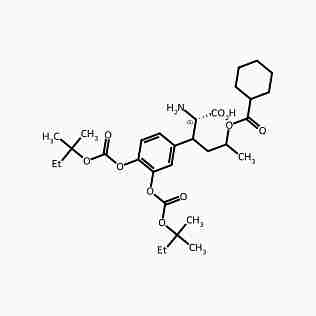 CCC(C)(C)OC(=O)Oc1ccc(C(CC(C)OC(=O)C2CCCCC2)[C@H](N)C(=O)O)cc1OC(=O)OC(C)(C)CC